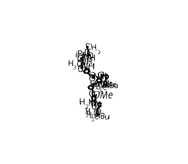 C=CCOC(=O)NC(C(=O)NC(C)C(=O)Nc1ccc(COC(=O)Nc2cc(OCc3cccc(COc4cc(N)c(C(=O)N5CCCC5CO[Si](C)(C)C(C)(C)C)cc4OC)c3)c(OC)cc2C(=O)N2CCCC2CO[Si](C)(C)C(C)(C)C)cc1)C(C)C